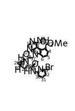 COC(=O)c1cccc2c1c1c(N)ncnc1n2CC(=O)N1[C@@H]2C[C@@H]2C[C@H]1C(=O)Nc1cccc(Br)n1